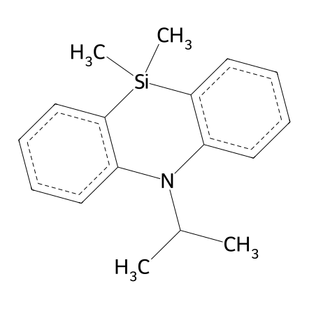 CC(C)N1c2ccccc2[Si](C)(C)c2ccccc21